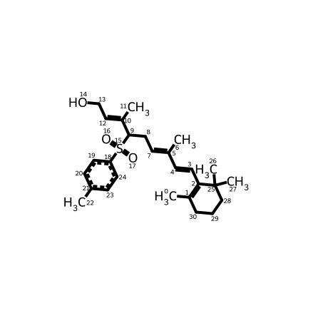 CC1=C(/C=C/C(C)=C/CC(/C(C)=C/CO)S(=O)(=O)c2ccc(C)cc2)C(C)(C)CCC1